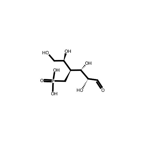 O=C[C@H](O)[C@@H](O)[C@@H](CP(=O)(O)O)[C@H](O)CO